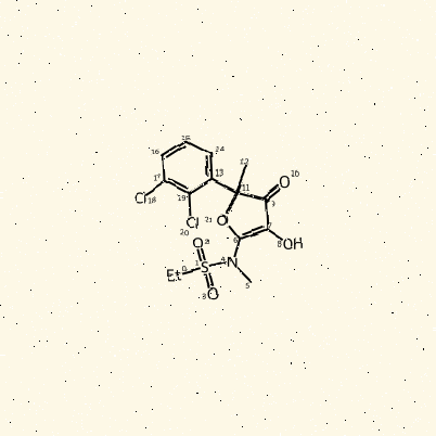 CCS(=O)(=O)N(C)C1=C(O)C(=O)C(C)(c2cccc(Cl)c2Cl)O1